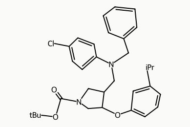 CC(C)c1cccc(OC2CN(C(=O)OC(C)(C)C)CC2CN(Cc2ccccc2)c2ccc(Cl)cc2)c1